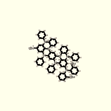 CC(C)(C)c1cc2c3c(c1)N(c1ccccc1)c1cc4c(cc1B3c1ccccc1N2c1ccccc1)B1c2ccccc2N(c2ccccc2)c2cc(N(c3ccccc3C(C)(C)C)c3ccccc3C(C)(C)C)cc(c21)N4c1ccccc1